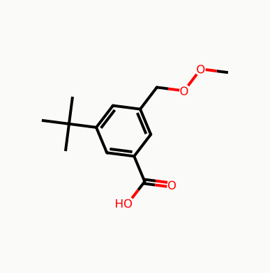 COOCc1cc(C(=O)O)cc(C(C)(C)C)c1